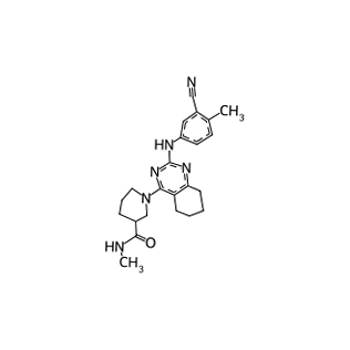 CNC(=O)C1CCCN(c2nc(Nc3ccc(C)c(C#N)c3)nc3c2CCCC3)C1